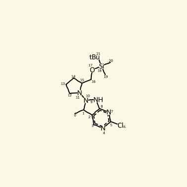 CC1c2cnc(Cl)nc2NN1N1CCCC1CO[Si](C)(C)C(C)(C)C